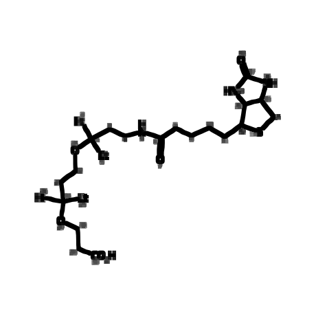 CCC(CC)(CCNC(=O)CCCCC1SCC2NC(=O)NC21)OCCC(CC)(CC)OCCC(=O)O